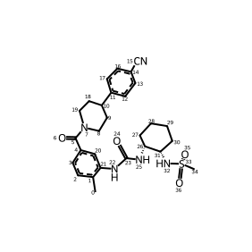 Cc1ccc(C(=O)N2CCC(c3ccc(C#N)cc3)CC2)cc1NC(=O)N[C@@H]1CCCC[C@@H]1NS(C)(=O)=O